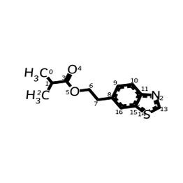 CC(C)C(=O)OCCc1ccc2ncsc2c1